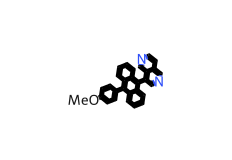 COc1ccc(-c2c3ccccc3c(-c3cncc4ccncc34)c3ccccc23)cc1